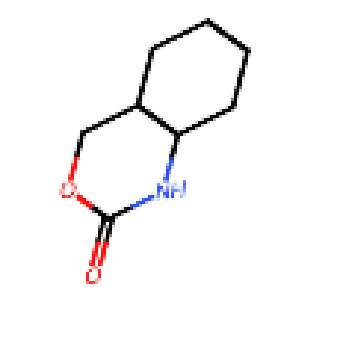 O=C1NC2CCCCC2CO1